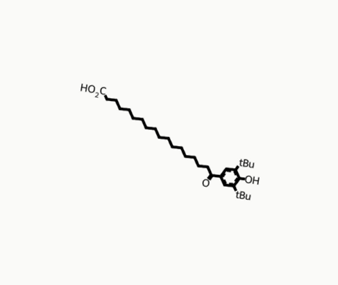 CC(C)(C)c1cc(C(=O)CCCCCCCCCCCCCCCCC(=O)O)cc(C(C)(C)C)c1O